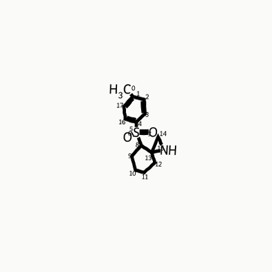 Cc1ccc(S(=O)(=O)C2CCCCC23CN3)cc1